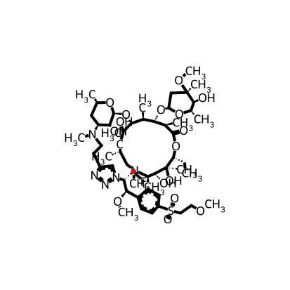 CC[C@H]1OC(=O)[C@H](C)[C@@H](O[C@H]2C[C@@](C)(OC)[C@@H](O)[C@H](C)O2)[C@H](C)[C@@H](O[C@@H]2O[C@H](C)C[C@H](N(C)CCc3cn([C@H](CF)[C@H](OC)c4ccc(S(=O)(=O)CCOC)cc4)nn3)[C@H]2O)[C@](C)(O)C[C@@H](C)CN(C)[C@H](C)[C@@H](O)[C@]1(C)O